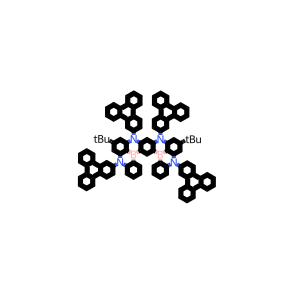 CC(C)(C)c1cc2c3c(c1)N(c1ccc4c5ccccc5c5ccccc5c4c1)c1cc4c(cc1B3c1ccccc1N2c1ccc2c3ccccc3c3ccccc3c2c1)B1c2ccccc2N(c2ccc3c5ccccc5c5ccccc5c3c2)c2cc(C(C)(C)C)cc(c21)N4c1ccc2c3ccccc3c3ccccc3c2c1